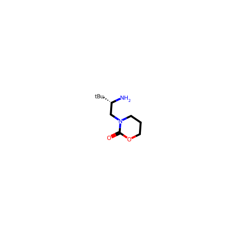 CC(C)(C)[C@H](N)CN1CCCOC1=O